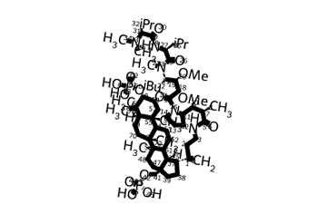 C=C(CCNC(=O)[C@H](C)[C@@H](OC)C1CCCN1C(=O)C[C@@H](OC)[C@H]([C@@H](C)CC)N(C)C(=O)[C@@H](NC(=O)[C@H](C(C)C)N(C)C)C(C)C)[C@@H]1CC[C@]2(COP(=O)(O)O)CC[C@]3(C)C(CCC4[C@@]5(C)CC[C@H](OP(=O)(O)O)C(C)(C)[C@@H]5CC[C@]43C)[C@@H]12